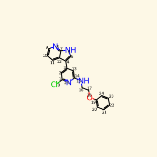 Clc1cc(-c2c[nH]c3ncccc23)cc(NCCOc2ccccc2)n1